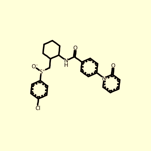 O=C(NC1CCCCC1C[S+]([O-])c1ccc(Cl)cc1)c1ccc(-n2ccccc2=O)cc1